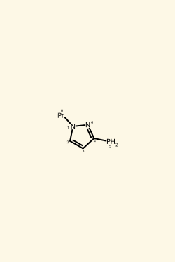 CC(C)n1ccc(P)n1